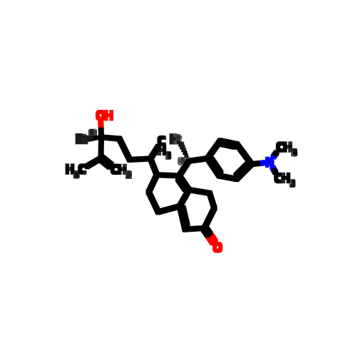 C=C(C)[C@@](O)(CC)CCC(C)C1CCC2=CC(=O)CCC2=C1[C@H](CC)c1ccc(N(C)C)cc1